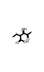 CCC(C(=N)C(C)=O)C(=O)O